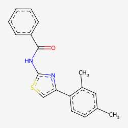 Cc1ccc(-c2csc(NC(=O)c3ccccc3)n2)c(C)c1